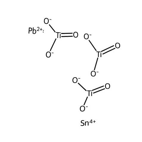 [O]=[Ti]([O-])[O-].[O]=[Ti]([O-])[O-].[O]=[Ti]([O-])[O-].[Pb+2].[Sn+4]